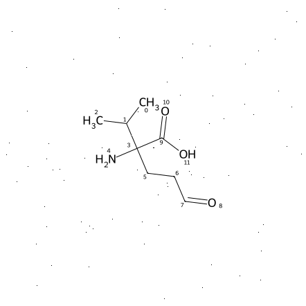 CC(C)C(N)(CCC=O)C(=O)O